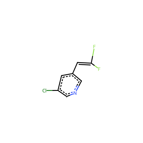 FC(F)=Cc1cn[c]c(Cl)c1